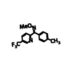 CO/N=C(/c1ccc(C)cc1)c1ccc(C(F)(F)F)cn1